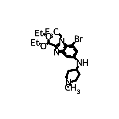 CCOC(OCC)c1nc2cc(NC3CCN(C)CC3)cc(Br)c2n1CC(F)(F)F